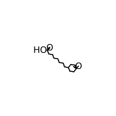 CC12CCC(CCCCCCCC(=O)O)CC1O2